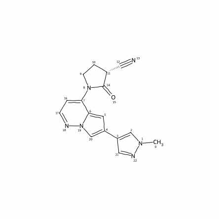 Cn1cc(-c2cc3c(N4CC[C@H](C#N)C4=O)ccnn3c2)cn1